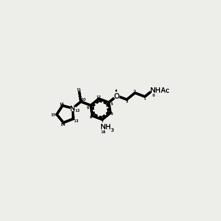 CC(=O)NCCCOc1cccc(C(C)N2CCCC2)c1.N